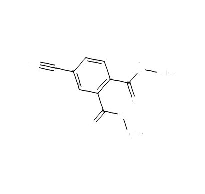 C#Cc1ccc(C(=O)OCCCCCC)c(C(=O)OCCCCCC)c1